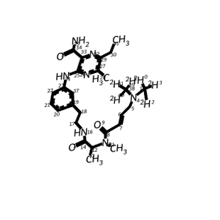 [2H]C([2H])([2H])N(CC=CC(=O)N(C)C(C)C(=O)NCCc1cccc(Nc2nc(C)c(CC)nc2C(N)=O)c1)C([2H])([2H])[2H]